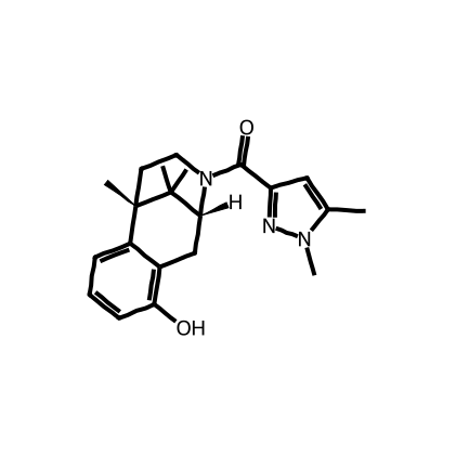 Cc1cc(C(=O)N2CC[C@@]3(C)c4cccc(O)c4C[C@@H]2C3(C)C)nn1C